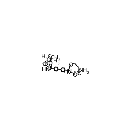 CC(C)(C)OC(=O)N1CCCC1c1nc(-c2ccc(-c3ccc(-c4nc5[nH]c4COC/C=C/CC(N)C(=O)N4CCCC54)cc3)cc2)c[nH]1